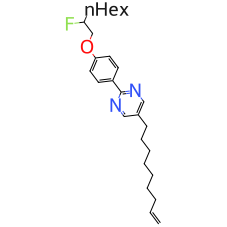 C=CCCCCCCCc1cnc(-c2ccc(OCC(F)CCCCCC)cc2)nc1